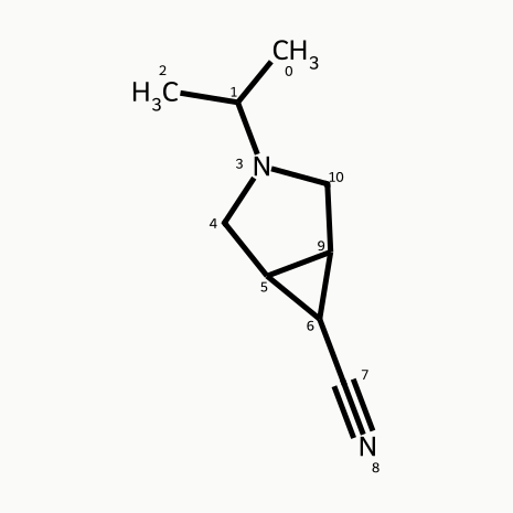 CC(C)N1CC2C(C#N)C2C1